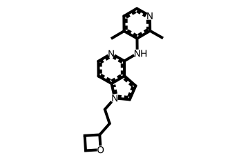 Cc1ccnc(C)c1Nc1nccc2c1ccn2CCC1CCO1